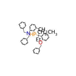 CCC(C)(Pc1c(C)cccc1N(Cc1ccccc1)Cc1ccccc1)c1cc(C)ccc1OCc1ccccc1